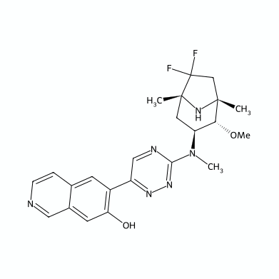 CO[C@@H]1[C@@H](N(C)c2ncc(-c3cc4ccncc4cc3O)nn2)C[C@@]2(C)N[C@]1(C)CC2(F)F